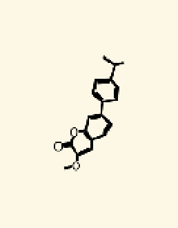 COc1cc2ccc(-c3ccc(C(C)C)cc3)cc2oc1=O